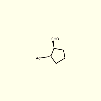 CC(=O)N1CCC[C@@H]1C=O